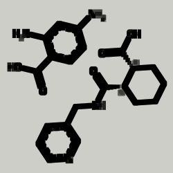 Nc1ccc(C(=O)O)c(N)c1.O=C(NCc1cccnc1)[C@H]1CCCC[C@H]1C(=O)O